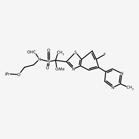 COC(C)(c1nc2cc(-c3cnc(C)nc3)c(F)cc2s1)S(=O)(=O)N([C]=O)CCOC(C)C